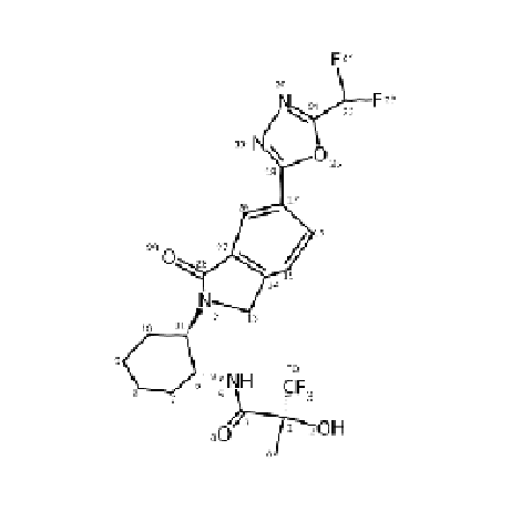 C[C@](O)(C(=O)N[C@@H]1CCCC[C@H]1N1Cc2ccc(-c3nnc(C(F)F)o3)cc2C1=O)C(F)(F)F